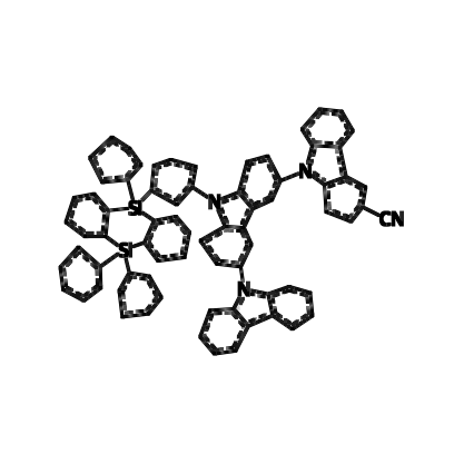 N#Cc1ccc2c(c1)c1ccccc1n2-c1ccc2c(c1)c1cc(-n3c4ccccc4c4ccccc43)ccc1n2-c1cccc([Si]2(c3ccccc3)c3ccccc3[Si](c3ccccc3)(c3ccccc3)c3ccccc32)c1